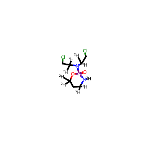 [2H]N1C([2H])([2H])CC([2H])([2H])OP1(=O)N(C([2H])([2H])CCl)C([2H])([2H])CCl